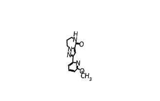 COc1cccc(-c2cc3n(n2)CCCNC3=O)n1